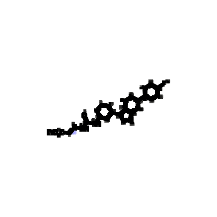 CCOC(=O)/C=N/NC(=O)Nc1cccc(-c2cnc3cc(-c4ccc(F)cc4)ccn23)c1